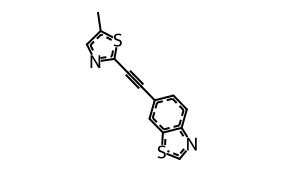 Cc1cnc(C#Cc2ccc3ncsc3c2)s1